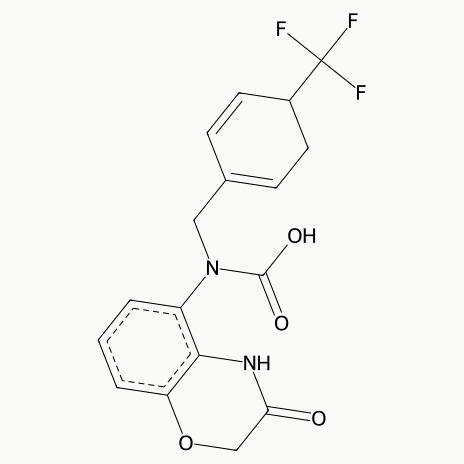 O=C1COc2cccc(N(CC3=CCC(C(F)(F)F)C=C3)C(=O)O)c2N1